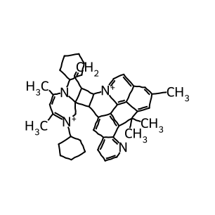 C=CC1C2C(c3cc4cccnc4c4c3-c3c5c(cc(C)cc5cc[n+]32)C4(C)C)C12C[N+](C1CCCCC1)=C(C)C=C(C)N2C1CCCCC1